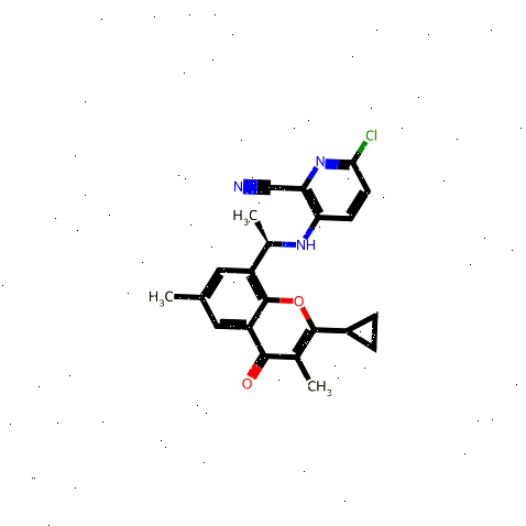 Cc1cc([C@@H](C)Nc2ccc(Cl)nc2C#N)c2oc(C3CC3)c(C)c(=O)c2c1